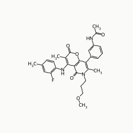 COCCCn1c(C)c(-c2cccc(NC(C)=O)c2)c2oc(=O)c(C)c(Nc3ccc(C)cc3F)c2c1=O